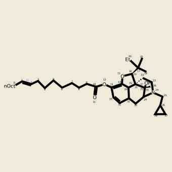 CCCCCCCC/C=C/CCCCCCCC(=O)OC1=C2O[C@@H](C(C)(C)CC)[C@]34CCN(CC5CC5)C(CC(C=C1)C23)[C@@]4(C)O